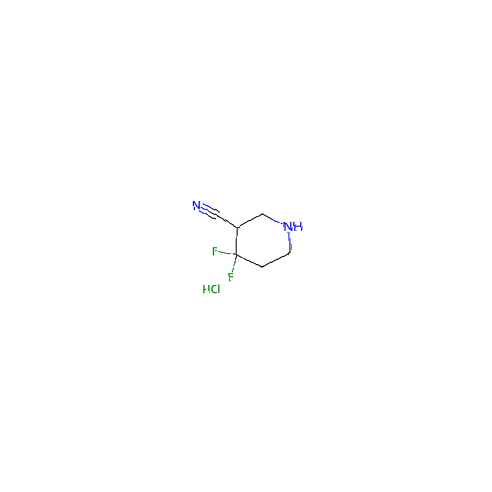 Cl.N#CC1CNCCC1(F)F